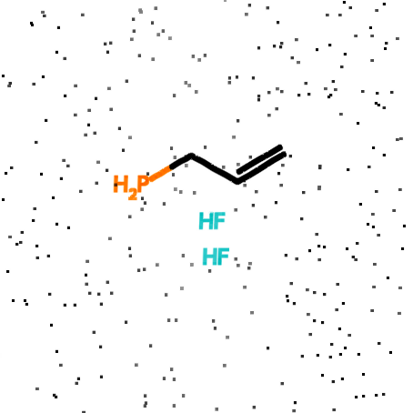 C=CCP.F.F